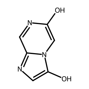 Oc1cn2c(O)cnc2cn1